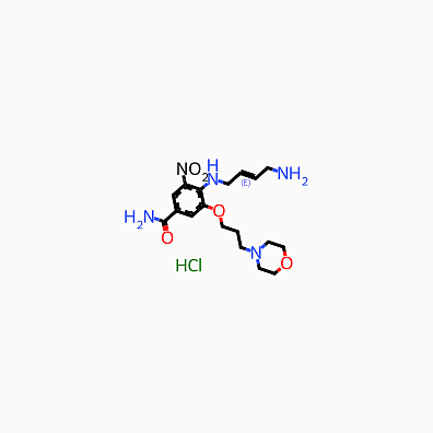 Cl.NC/C=C/CNc1c(OCCCN2CCOCC2)cc(C(N)=O)cc1[N+](=O)[O-]